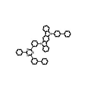 c1ccc(-c2ccc(-n3c4ccccc4c4cc5c(cc43)c3ccccc3n5-c3cccc(-c4nc(-c5ccccc5)nc(-c5cccc(-c6ccccc6)c5)n4)c3)cc2)cc1